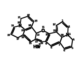 Br.C1=CN2CC=CC3=CC4=C(OC5C(=C4)C=C4CC=CN6CC=CC5=C46)C(=C1)C32